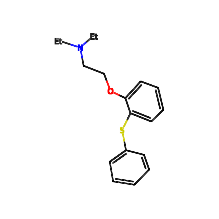 CCN(CC)CCOc1ccccc1Sc1ccccc1